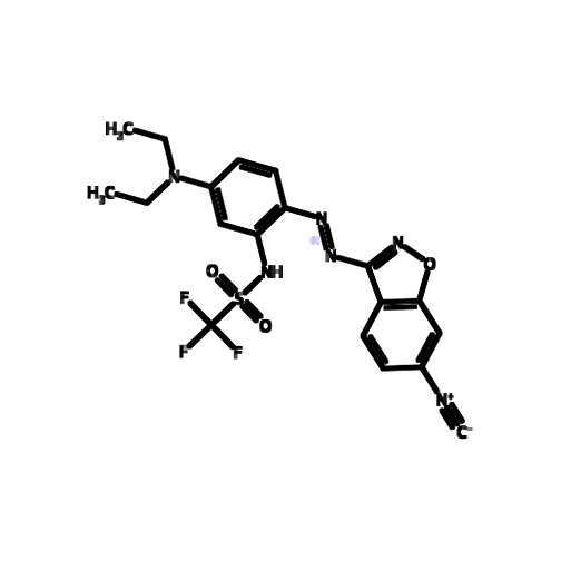 [C-]#[N+]c1ccc2c(/N=N/c3ccc(N(CC)CC)cc3NS(=O)(=O)C(F)(F)F)noc2c1